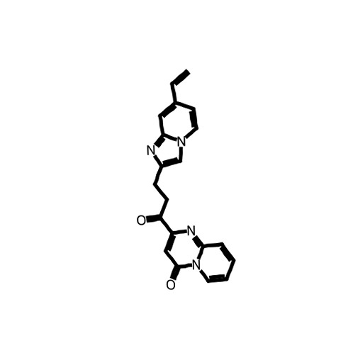 C=Cc1ccn2cc(CCC(=O)c3cc(=O)n4ccccc4n3)nc2c1